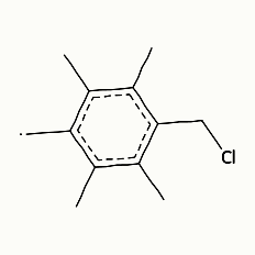 [CH2]c1c(C)c(C)c(CCl)c(C)c1C